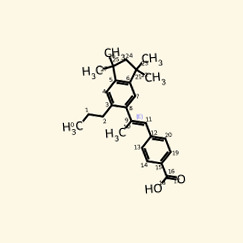 CCCc1cc2c(cc1/C(C)=C/c1ccc(C(=O)O)cc1)C(C)(C)CC2(C)C